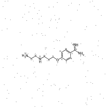 N=C(N)c1ccc(OCCCNCCN)cc1